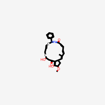 COC1CC2/C=C(C)/C=C/C=C\C(=O)NC(c3ccccc3)C/C=C/CCC(O)CC(=O)C2=C1O